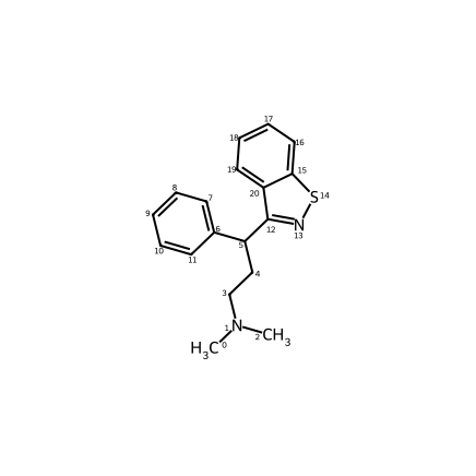 CN(C)CCC(c1ccccc1)c1nsc2ccccc12